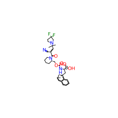 CC(C)(C=C(C#N)C(=O)N1CCCC[C@@H]1COC(=O)NC(Cc1cccc2ccccc12)B(O)O)N1CCC(F)(F)C1